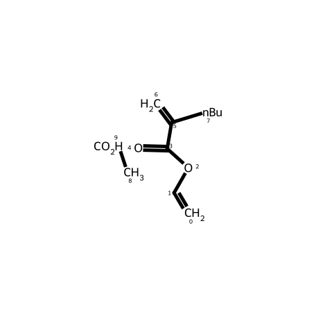 C=COC(=O)C(=C)CCCC.CC(=O)O